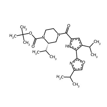 CC(C)c1coc(-c2[nH]c(C(=O)N3CCN(C(=O)OC(C)(C)C)[C@@H](C(C)C)C3)cc2C(C)C)n1